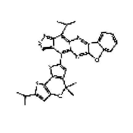 CC(C)c1cc2c(s1)-c1sc(-c3c4nsnc4c(C(C)C)c4nc5c(nc34)oc3ccccc35)cc1C(C)(C)O2